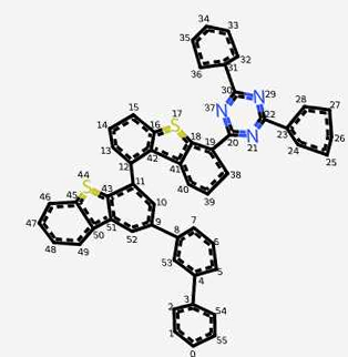 c1ccc(-c2cccc(-c3cc(-c4cccc5sc6c(-c7nc(-c8ccccc8)nc(-c8ccccc8)n7)cccc6c45)c4sc5ccccc5c4c3)c2)cc1